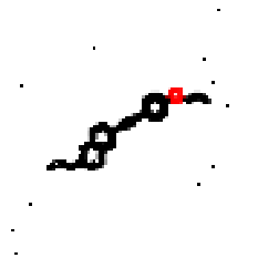 CCCOc1ccc(C#Cc2ccc3cc(CCC)ccc3c2)cc1